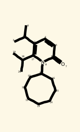 CC(C)c1ccc(=O)n(C2CCCCCCC2)c1C(C)C